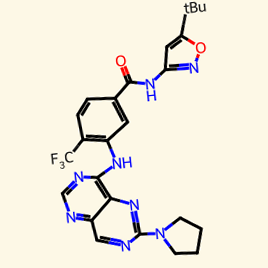 CC(C)(C)c1cc(NC(=O)c2ccc(C(F)(F)F)c(Nc3ncnc4cnc(N5CCCC5)nc34)c2)no1